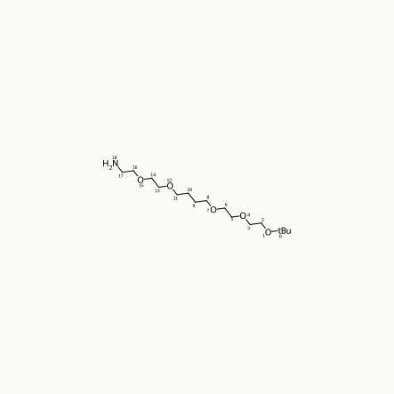 CC(C)(C)OCCOCCOCCCCOCCOCCN